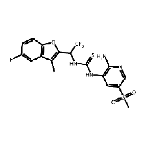 Cc1c(C(NC(=S)Nc2cc(S(C)(=O)=O)cnc2N)C(F)(F)F)oc2ccc(F)cc12